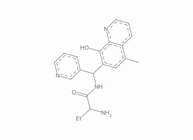 CCC(N)C(=O)NC(c1cccnc1)c1cc(C)c2cccnc2c1O